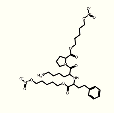 NCCCCC(NC(CCc1ccccc1)C(=O)OCCCCCO[N+](=O)[O-])C(=O)N1CCCC1C(=O)OCCCCCO[N+](=O)[O-]